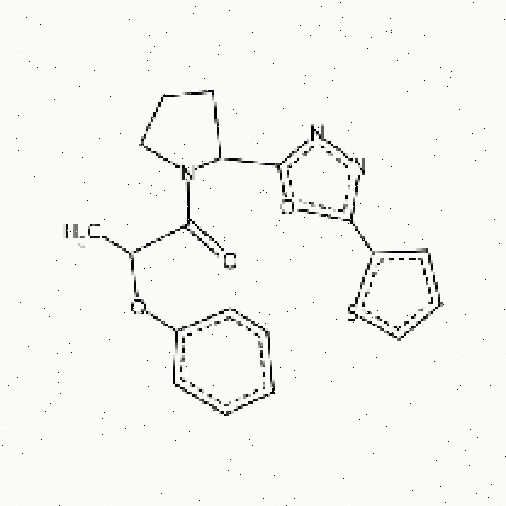 CC(Oc1ccccc1)C(=O)N1CCCC1c1nnc(-c2cccs2)o1